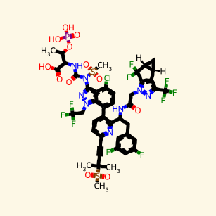 CC(OP(=O)(O)O)C(NC(=O)N(c1nn(CC(F)(F)F)c2c(-c3ccc(C#CC(C)(C)S(C)(=O)=O)nc3C(Cc3cc(F)cc(F)c3)NC(=O)Cn3nc(C(F)(F)F)c4c3C(F)(F)[C@@H]3C[C@H]43)ccc(Cl)c12)S(C)(=O)=O)C(=O)O